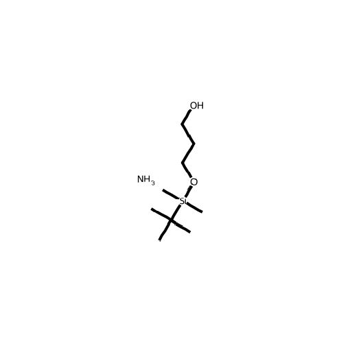 CC(C)(C)[Si](C)(C)OCCCO.N